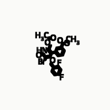 COC(=O)c1cccc(-c2c(COC(C)=O)[nH]c(=O)c(Br)c2OCc2ccc(F)cc2F)c1